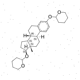 C[C@]12CC[C@@H]3c4ccc(OC5CCCCO5)cc4CC[C@H]3[C@@H]1CC[C@@H]2OC1CCCCO1